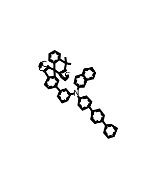 CC1(C)c2ccccc2C2(c3ccccc3-c3ccc(-c4cccc(N(c5ccc(-c6ccc(-c7ccccc7)cc6)cc5)c5ccc6ccccc6c5)c4)cc32)c2ccccc21